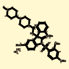 COc1ccc(S(=O)(=O)N2C(=O)C(NC(=O)N3CCN(C4CCN(C)CC4)CC3)(c3ccccc3OC)c3cc(OC)ccc32)c(OC)c1.Cl.Cl